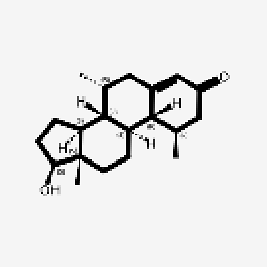 C[C@@H]1CC(=O)C=C2C[C@@H](C)[C@@H]3[C@H](CC[C@]4(C)[C@@H](O)CC[C@@H]34)[C@H]21